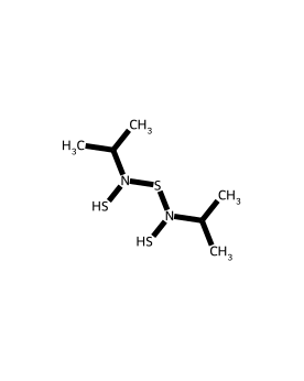 CC(C)N(S)SN(S)C(C)C